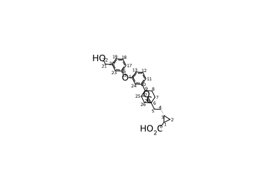 O=C(O)[C@@H]1C[C@H]1CCC12CCC(c3cccc(Oc4cccc(CO)c4)c3)(CC1)OC2